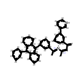 C=C(/C=C(C)\N=C(/C)c1cccc(-c2c3ccccc3c(-c3ccccc3)c3ccccc23)c1)c1cccc(-c2cccnc2)c1